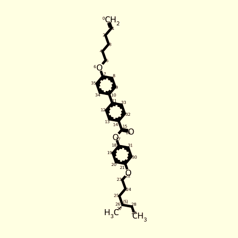 C=CCCCCOc1ccc(-c2ccc(C(=O)Oc3ccc(OCCC[C@@H](C)CC)cc3)cc2)cc1